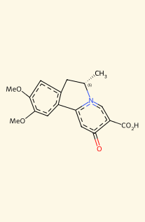 COc1cc2c(cc1OC)-c1cc(=O)c(C(=O)O)cn1[C@@H](C)C2